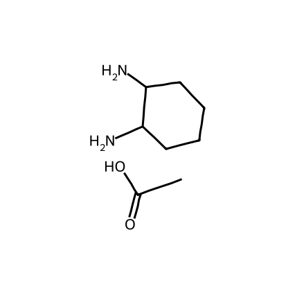 CC(=O)O.NC1CCCCC1N